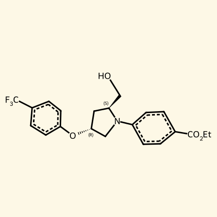 CCOC(=O)c1ccc(N2C[C@H](Oc3ccc(C(F)(F)F)cc3)C[C@H]2CO)cc1